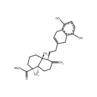 C=C1CC[C@@H]2[C@](C)(CCC[C@]2(C)C(=O)OC)[C@H]1CCC1=CCc2c(O)ccc(O)c2C1